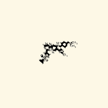 CN(C)CC1CCC(CNC2=CC(N)(c3ccnc(-c4cnn(S(=O)(=O)C5CC5)c4)n3)NC=C2c2csc(C(F)(F)F)n2)CC1